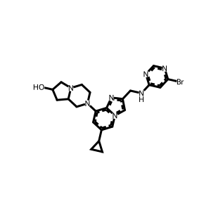 OC1CC2CN(c3cc(C4CC4)cn4cc(CNc5cc(Br)ncn5)nc34)CCN2C1